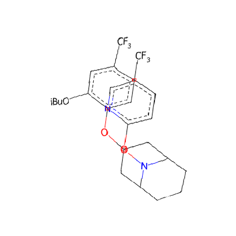 CC(C)COc1cc(C(F)(F)F)ccc1OC1CC2CCCC(C1)N2Oc1ccc(C(F)(F)F)cn1